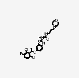 CC(Oc1ccc2nc(NC(=O)NCCCN3CCOCC3)sc2c1)c1c(Cl)ccc(F)c1Cl